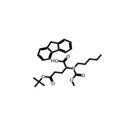 CCCCCN(C(=O)OC)C(CCC(=O)OC(C)(C)C)C(=O)O.c1ccc2c(c1)Cc1ccccc1-2